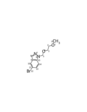 COCCOCn1ncc2cc(Br)ccc21